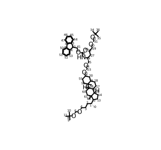 C[C@H](CCCOCOC(C)(C)C)C1CC[C@H]2C3CCC4CC(OCOC[C@H](CCCOCOC(C)(C)C)NC(=O)OCC5c6ccccc6-c6ccccc65)CCC4(C)[C@H]3CCC12C